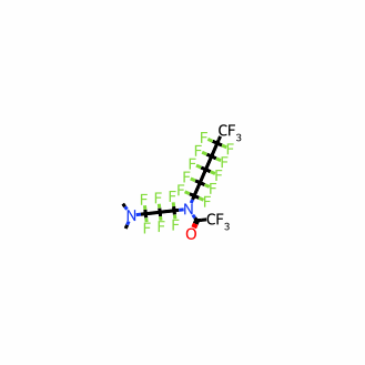 CN(C)C(F)(F)C(F)(F)C(F)(F)N(C(=O)C(F)(F)F)C(F)(F)C(F)(F)C(F)(F)C(F)(F)C(F)(F)C(F)(F)F